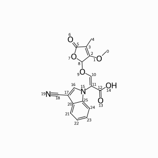 COC1=C(C)C(=O)OC1O/C=C(/C(=O)O)n1cc(C#N)c2ccccc21